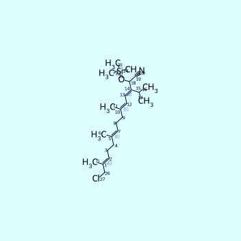 C/C(=C\CC/C(C)=C/CC/C(C)=C/C=C(\C(C)C)C(C#N)O[Si](C)(C)C)CCl